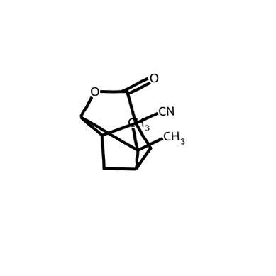 CC1(C)C2CC3C1OC(=O)C3(C#N)C2